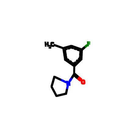 Cc1cc(F)cc(C(=O)N2CCCC2)c1